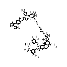 Cc1cc(C)cc(COc2cc3c(cc2OCc2cc(C)cc(C)c2)[C@H]2C[C@](O)(Cc4cn(CCOCCOCCOCC(=O)N[C@H](C(=O)N5C[C@H](O)C[C@H]5C(=O)NCc5ccc(-c6scnc6C)cc5)C(C)(C)C)nn4)C[C@H](C)N2CC3)c1